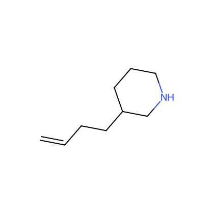 C=CCCC1CCCNC1